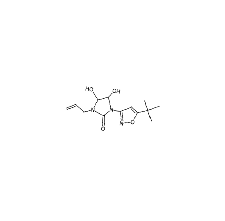 C=CCN1C(=O)N(c2cc(C(C)(C)C)on2)C(O)C1O